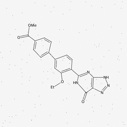 CCOc1cc(-c2ccc(C(=O)OC)cc2)ccc1-c1nc2[nH]nnc2c(=O)[nH]1